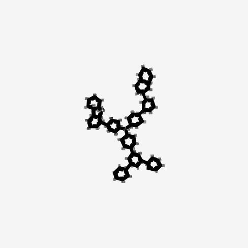 c1ccc(-c2cc(-c3ccccc3)cc(-c3ccc(N(c4ccc(-c5cccc(-c6ccc7ccccc7c6)c5)cc4)c4ccc(-c5cccc6c5oc5ccccc56)cc4)cc3)c2)cc1